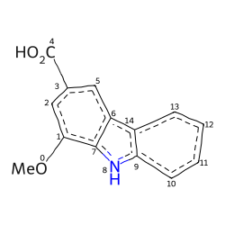 COc1cc(C(=O)O)cc2c1[nH]c1ccccc12